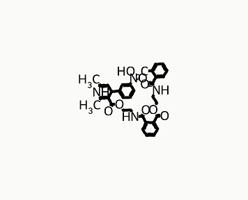 CC1=CC(c2cccc([N+](=O)[O-])c2)C(C(=O)OCCNC(=O)c2ccccc2C(=O)OCCNC(=O)c2ccccc2C(=O)O)=C(C)N1